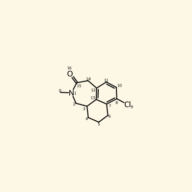 CN1CC2CCCc3c(Cl)ccc(c32)CC1=O